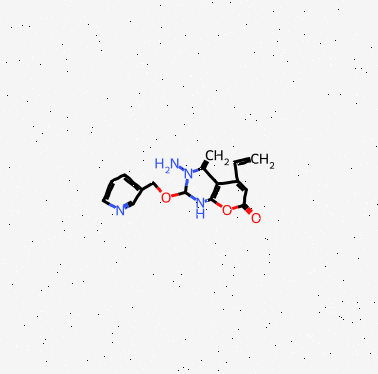 C=Cc1cc(=O)oc2c1C(=C)N(N)C(OCc1cccnc1)N2